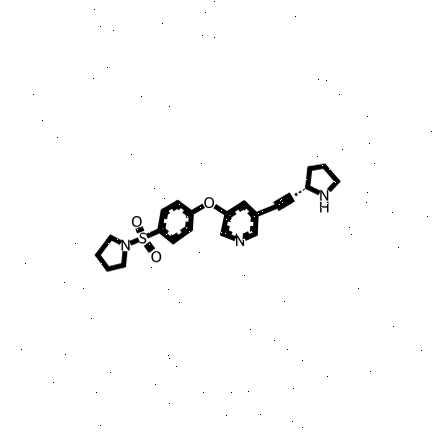 O=S(=O)(c1ccc(Oc2cncc(C#C[C@@H]3CCCN3)c2)cc1)N1CCCC1